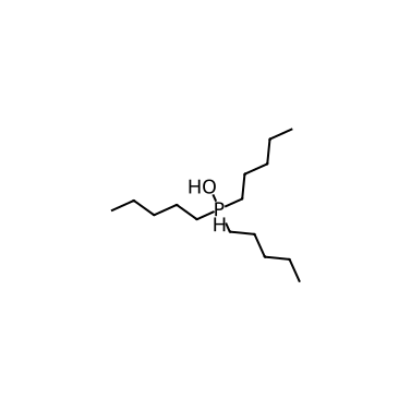 CCCCC[PH](O)(CCCCC)CCCCC